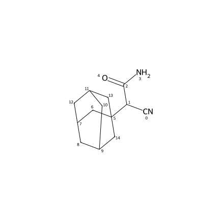 N#CC(C(N)=O)C12CC3CC(CC(C3)C1)C2